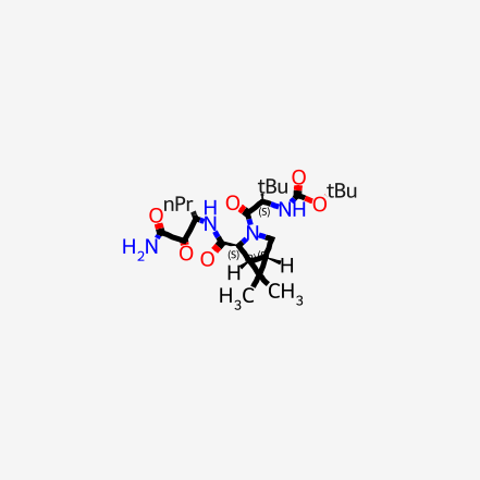 CCCC(NC(=O)[C@@H]1[C@@H]2[C@H](CN1C(=O)[C@@H](NC(=O)OC(C)(C)C)C(C)(C)C)C2(C)C)C(=O)C(N)=O